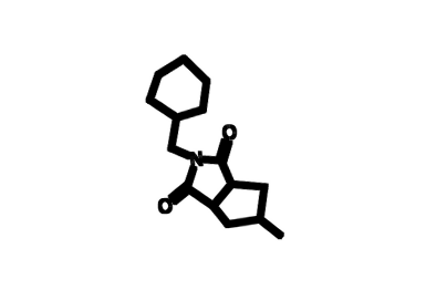 CC1CC2C(=O)N(CC3CCCCC3)C(=O)C2C1